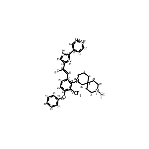 CCN1CCC2(CCCN(c3c(/C=C(\F)c4csc(-c5ccnnc5)n4)ccc(Oc4ccccc4)c3C(F)(F)F)C2)CC1